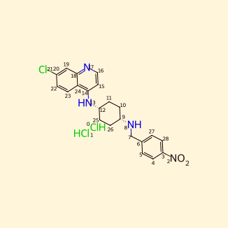 Cl.Cl.O=[N+]([O-])c1ccc(CN[C@H]2CC[C@@H](Nc3ccnc4cc(Cl)ccc34)CC2)cc1